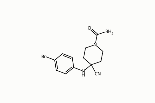 BC(=O)N1CCC(C#N)(Nc2ccc(Br)cc2)CC1